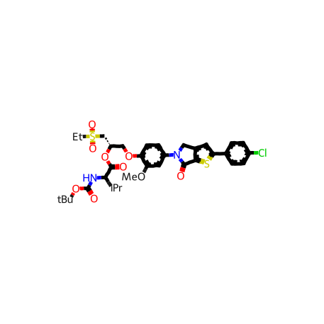 CCS(=O)(=O)C[C@H](COc1ccc(N2Cc3cc(-c4ccc(Cl)cc4)sc3C2=O)cc1OC)OC(=O)C(NC(=O)OC(C)(C)C)C(C)C